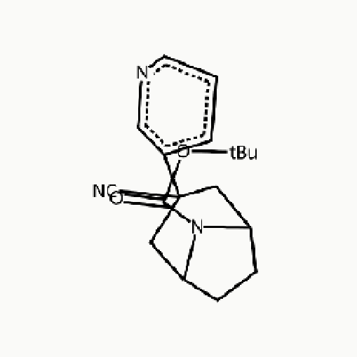 CC(C)(C)OC(=O)N1C2CCC1CC(C#N)(c1cccnc1)C2